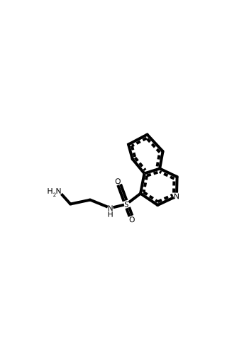 NCCNS(=O)(=O)c1cncc2ccccc12